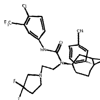 N#Cc1cccc([C@]23CC[C@@H](N(CCN4CCC(F)(F)C4)C(=O)Nc4ccc(Cl)c(C(F)(F)F)c4)CC2C3)c1